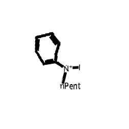 CCCCC[N+](I)c1ccccc1